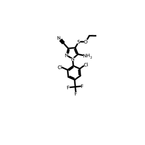 CCOSc1c(C#N)nn(-c2c(Cl)cc(C(F)(F)F)cc2Cl)c1N